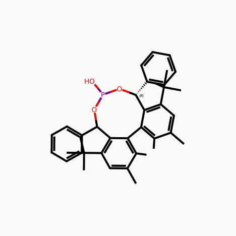 Cc1cc(C(C)(C)C)c2c(c1C)-c1c(C)c(C)cc(C(C)(C)C)c1[C@@H](c1ccccc1)OP(O)OC2c1ccccc1